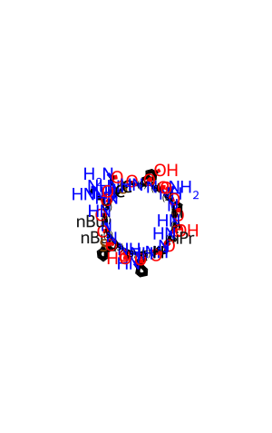 CCCC[C@H]1C(=O)N(C)[C@@H](CCCC)C(=O)N[C@@H](CCCNC(=N)N)C(=O)NC(C(=O)NCC(N)=O)CSCC(=O)N[C@@H](Cc2ccc(O)cc2)C(=O)N(C)[C@@H](C)C(=O)N[C@@H](CC(N)=O)C(=O)N2CCC[C@H]2C(=O)N[C@@H](CO)C(=O)N[C@@H](CC(C)C)C(=O)N2CCC[C@H]2C(=O)N[C@@H](Cc2c[nH]c3ccccc23)C(=O)N[C@@H](CO)C(=O)N[C@@H](Cc2csc3ccccc23)C(=O)N1C